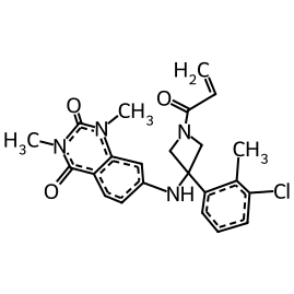 C=CC(=O)N1CC(Nc2ccc3c(=O)n(C)c(=O)n(C)c3c2)(c2cccc(Cl)c2C)C1